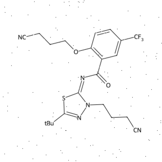 CC(C)(C)c1nn(CCCC#N)c(=NC(=O)c2cc(C(F)(F)F)ccc2OCCCC#N)s1